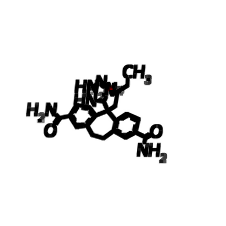 CC[C@H](N)CC1(C2N=NNN2)c2ccc(C(N)=O)cc2CCc2cc(C(N)=O)ccc21